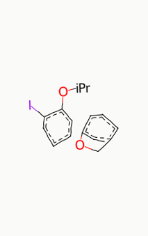 CC(C)Oc1ccccc1I.c1cc2cc(c1)OC2